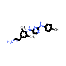 Cc1cc(/C=C/N)cc(C)c1Nc1ccnc(Nc2ccc(C#N)cc2)n1